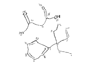 C=CC(CC)(CC)c1ccccc1.O=C(O)CC(=O)O